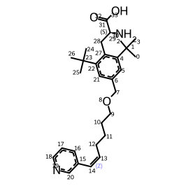 CC(C)(C)c1cc(COCCCC/C=C\c2cccnc2)cc(C(C)(C)C)c1C[C@H](N)C(=O)O